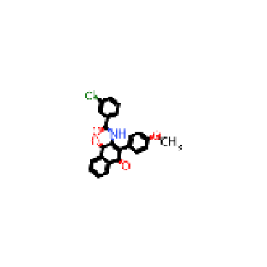 COc1ccc(C2=C(NC(=O)c3cccc(Cl)c3)C(=O)c3ccccc3C2=O)cc1